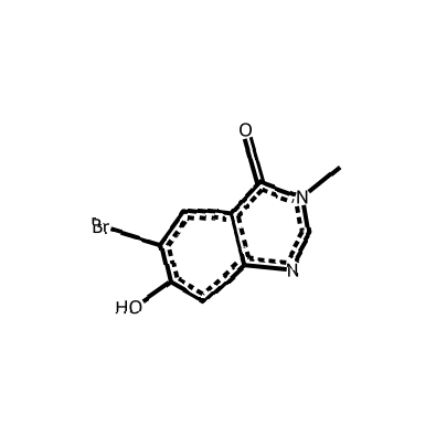 Cn1cnc2cc(O)c(Br)cc2c1=O